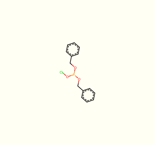 ClOP(OCc1ccccc1)OCc1ccccc1